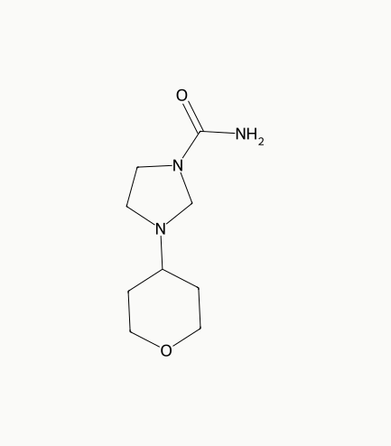 NC(=O)N1CCN(C2CCOCC2)C1